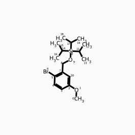 COc1ccc(Br)c(CO[Si](C(C)C)(C(C)C)C(C)C)c1